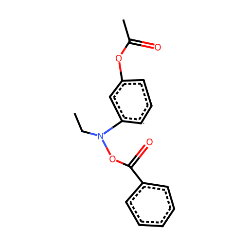 CCN(OC(=O)c1ccccc1)c1[c]ccc(OC(C)=O)c1